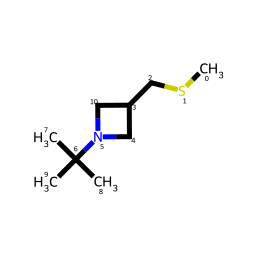 CSCC1CN(C(C)(C)C)C1